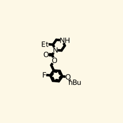 CCCCOc1ccc(F)c(COC(=O)N2CCNCC2CC)c1